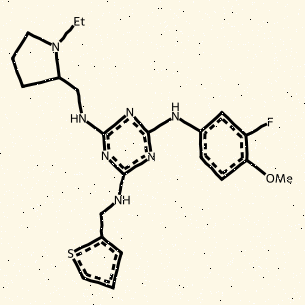 CCN1CCCC1CNc1nc(NCc2cccs2)nc(Nc2ccc(OC)c(F)c2)n1